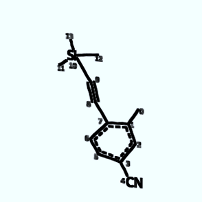 Cc1cc(C#N)ccc1C#C[Si](C)(C)C